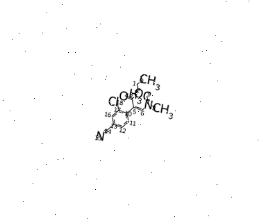 CCOC(=O)C(=CN(C)C)c1ccc(C#N)cc1Cl